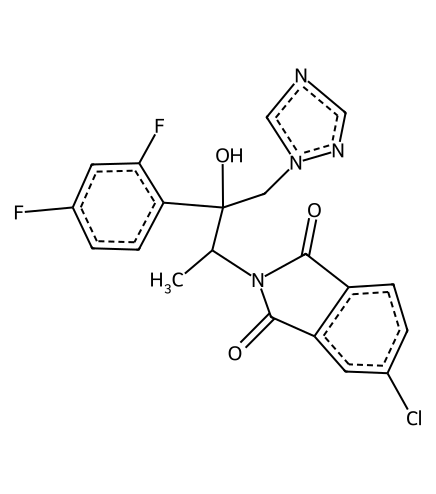 CC(N1C(=O)c2ccc(Cl)cc2C1=O)C(O)(Cn1cncn1)c1ccc(F)cc1F